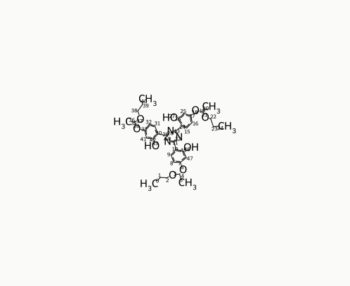 CCCOC(C)Oc1ccc(-c2nc(-c3ccc(OC(C)OCCC)cc3O)nc(-c3ccc(OC(C)OCCC)cc3O)n2)c(O)c1